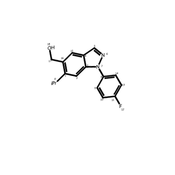 CC(C)c1cc2c(cnn2-c2ccc(F)cc2)cc1CO